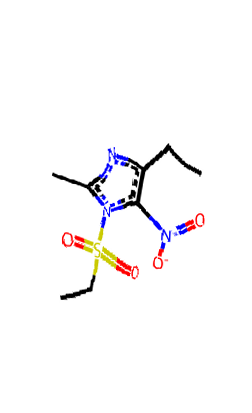 CCc1nc(C)n(S(=O)(=O)CC)c1[N+](=O)[O-]